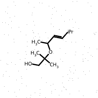 CC(C)C=CC(C)OC(C)(C)CO